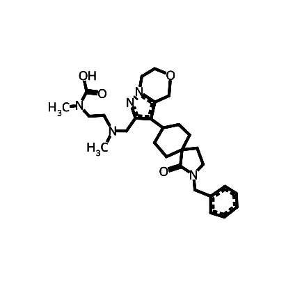 CN(CCN(C)C(=O)O)Cc1nn2c(c1C1CCC3(CC1)CCN(Cc1ccccc1)C3=O)COCC2